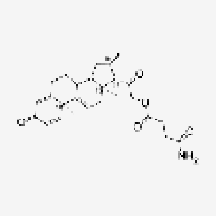 C[C@@H]1CC2C3CCC4=CC(=O)C=C[C@]4(C)C3=CC[C@]2(C)[C@H]1C(=O)COC(=O)CCC(N)=O